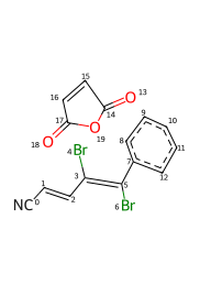 N#CC=CC(Br)=C(Br)c1ccccc1.O=C1C=CC(=O)O1